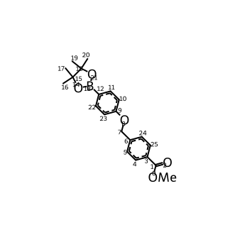 COC(=O)c1ccc(COc2ccc(B3OC(C)(C)C(C)(C)O3)cc2)cc1